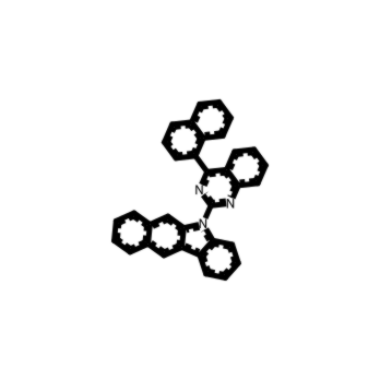 c1ccc2cc3c(cc2c1)c1ccccc1n3-c1nc(-c2cccc3ccccc23)c2ccccc2n1